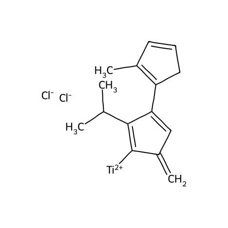 C=C1C=C(C2=C(C)C=CC2)C(C(C)C)=[C]1[Ti+2].[Cl-].[Cl-]